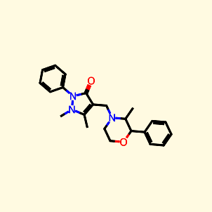 Cc1c(CN2CCOC(c3ccccc3)C2C)c(=O)n(-c2ccccc2)n1C